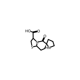 O=C(O)C1CSC2CC[C@]3(CCCN3)C(=O)N21